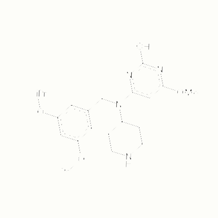 COc1cc(N(Cc2cc(OC(C)C)cc(OC(C)C)c2)C2CCNCC2)nc(O)n1